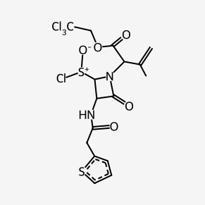 C=C(C)C(C(=O)OCC(Cl)(Cl)Cl)N1C(=O)C(NC(=O)Cc2cccs2)C1[S+]([O-])Cl